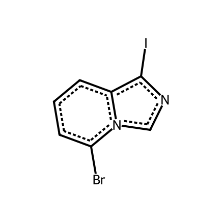 Brc1cccc2c(I)ncn12